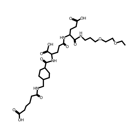 CCOCCOCCCNC(=O)C(CCC(=O)O)NC(=O)CCC(NC(=O)C1CCC(CNC(=O)CCCCC(=O)O)CC1)C(=O)O